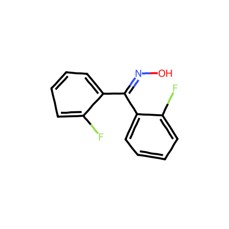 ON=C(c1ccccc1F)c1ccccc1F